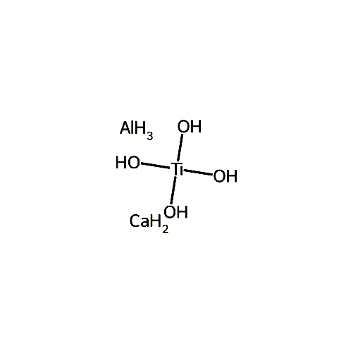 [AlH3].[CaH2].[OH][Ti]([OH])([OH])[OH]